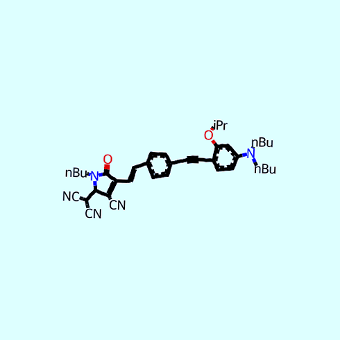 CCCCN(CCCC)c1ccc(C#Cc2ccc(/C=C/C3=C(C#N)C(C(C#N)C#N)N(CCCC)C3=O)cc2)c(OC(C)C)c1